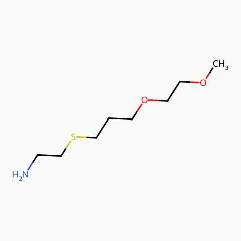 COCCOCCCSCCN